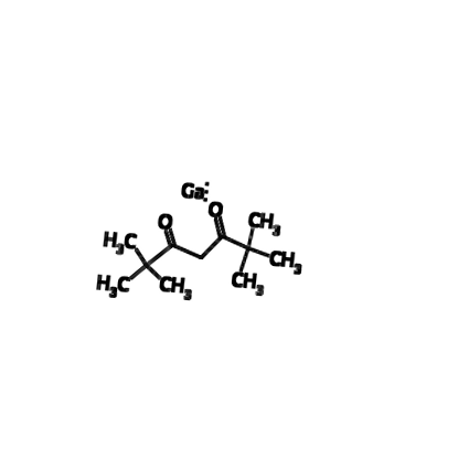 CC(C)(C)C(=O)CC(=O)C(C)(C)C.[Ga]